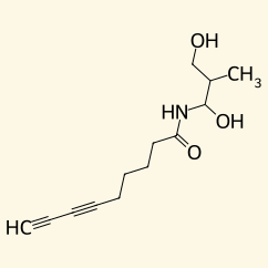 C#CC#CCCCCC(=O)NC(O)C(C)CO